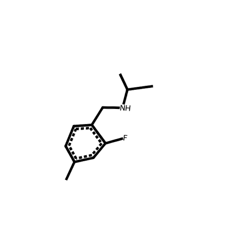 Cc1ccc(CNC(C)C)c(F)c1